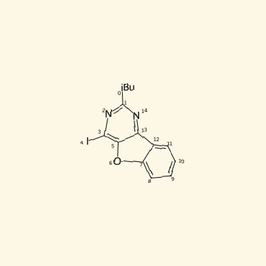 CCC(C)c1nc(I)c2oc3ccccc3c2n1